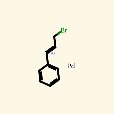 BrC/C=C/c1ccccc1.[Pd]